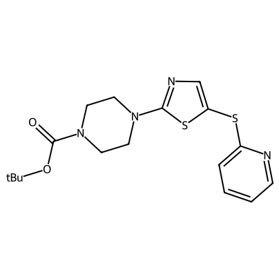 CC(C)(C)OC(=O)N1CCN(c2ncc(Sc3ccccn3)s2)CC1